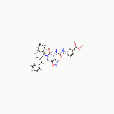 COC(=O)c1cccc(NC(=O)NCC(=O)N(Cc2ccno2)C2c3ccccc3CCC2Cc2ccccc2)c1